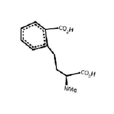 CN[C@@H](CCc1ccccc1C(=O)O)C(=O)O